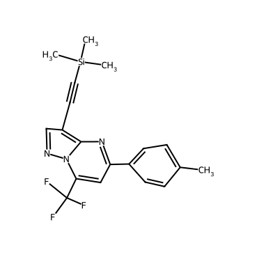 Cc1ccc(-c2cc(C(F)(F)F)n3ncc(C#C[Si](C)(C)C)c3n2)cc1